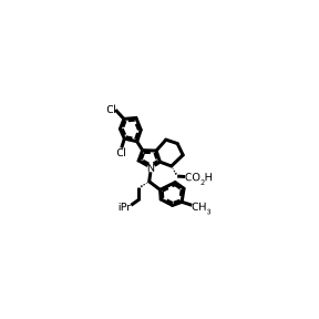 Cc1ccc([C@H](CCC(C)C)n2cc(-c3ccc(Cl)cc3Cl)c3c2[C@@H](CC(=O)O)CCC3)cc1